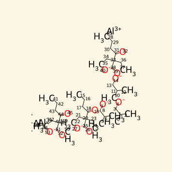 CC(C)C[O-].CC(C)C[O-].CC(C)C[O-].CCCC(=O)C(CC)(CC)C(=O)[O-].CCCC(=O)C(CC)(CC)C(=O)[O-].CCCC(=O)C(CC)(CC)C(=O)[O-].[Al+3].[Al+3].[Al]